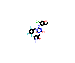 O=C1N(Cc2cc(F)c(F)cc2F)C(Nc2cc3c(cc2Cl)OCC3)=NC(O)N1Cc1ccc[nH]c1=O